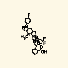 C[C@@H]1C2=C(CC[C@@H]2CN(CCc2ccccc2C(=O)O)S(=O)(=O)CC(F)(F)F)Cc2c1cnn2-c1ccc(F)cc1